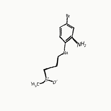 C[S+]([O-])CCCNc1ccc(Br)cc1N